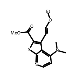 CCOC=Cc1c(C(=O)OC)sc2nccc(N(C)C)c12